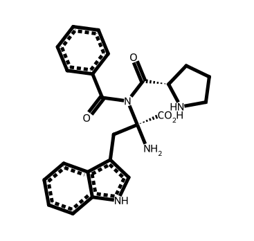 N[C@](Cc1c[nH]c2ccccc12)(C(=O)O)N(C(=O)c1ccccc1)C(=O)[C@@H]1CCCN1